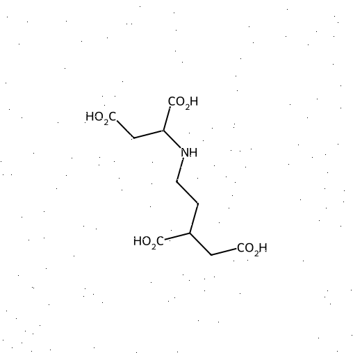 O=C(O)CC(CCNC(CC(=O)O)C(=O)O)C(=O)O